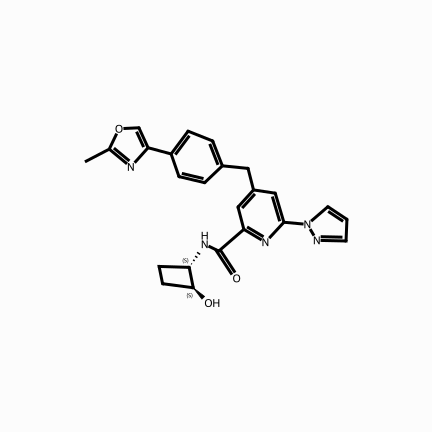 Cc1nc(-c2ccc(Cc3cc(C(=O)N[C@H]4CC[C@@H]4O)nc(-n4cccn4)c3)cc2)co1